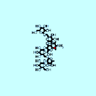 CO[C@H]1OC(CO)[C@H](O[C@H]2OC(CO[C@@H]3OC(C)[C@H](O)C(O)[C@@H]3O[C@H]3OC(CO)[C@@H](O)[C@H](O)C3O)[C@@H](O)[C@H](O)C2O)[C@H](O[C@@H]2OC(CO[C@H]3OC(CO)[C@@H](O)[C@H](O)C3O)[C@@H](O)[C@H](O)C2O)C1NC(C)C(N)=O